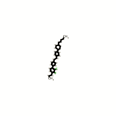 CCCCCC1CCC(c2ccc(CCc3ccc(-c4ccc(CCC)c(F)c4F)cc3)cc2)CC1